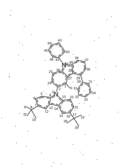 Cc1c(-n2c3ccc(C(C)(C)C)cc3c3cc(C(C)(C)C)ccc32)ccc2c1c1c(-c3ccccc3)cccc1n2-c1ccccc1